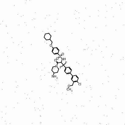 COCc1cc(-c2ccc(C(F)(F)C(NS(=O)(=O)c3ccc(OCC4CCCCC4)cc3)C(=O)N3CCC(N)CC3)cc2)ccc1Cl